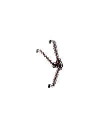 CC(C)CCCCCCCCCCCCCCCCC(=O)OC(=O)CC(O)(CC(=O)OC(=O)CCCCCCCCCCCCCCCCC(C)C)C(=O)OC(=O)CCCCCCCCCCCCCCCCC(C)C